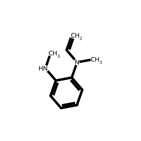 C=CN(C)c1ccccc1NC